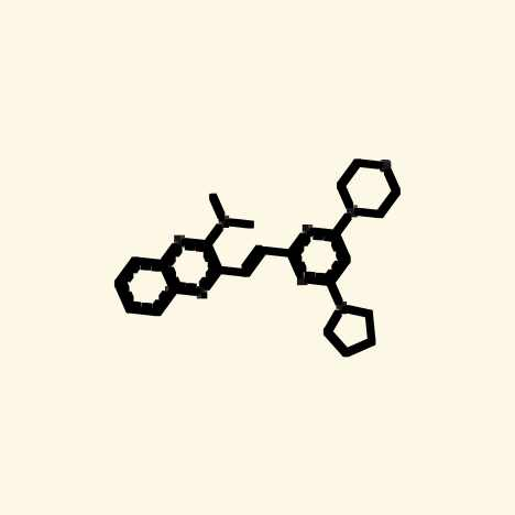 CN(C)c1nc2ccccc2nc1/C=C/c1nc(N2CCCC2)cc(N2CCOCC2)n1